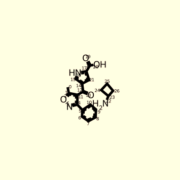 Cc1onc(-c2ccccc2)c1C(=O)c1c[nH]c(C(=O)O)c1.NC1CCC1